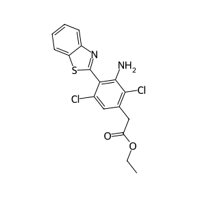 CCOC(=O)Cc1cc(Cl)c(-c2nc3ccccc3s2)c(N)c1Cl